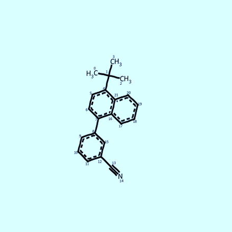 CC(C)(C)c1ccc(-c2cccc(C#N)c2)c2ccccc12